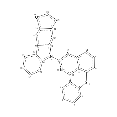 c1ccc2c(c1)Sc1cccc3nc(-n4c5ccccc5c5cc6occc6cc54)nc-2c13